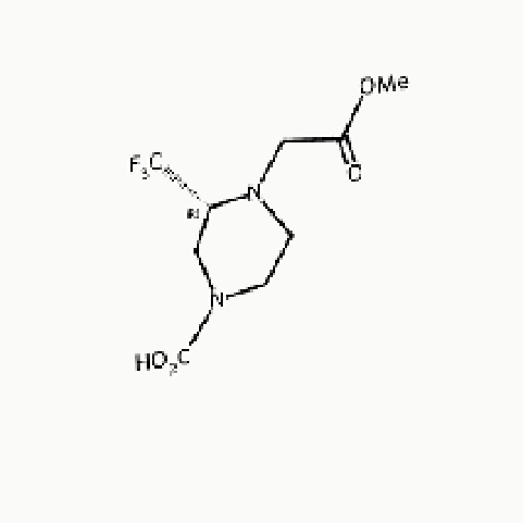 COC(=O)CN1CCN(C(=O)O)C[C@@H]1C(F)(F)F